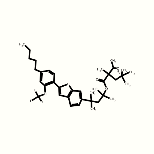 CCCCCc1ccc(-c2cc3ccc(C(C)(C)CC(C)(C)OC(=O)C(C)(CC(C)(C)C)C(C)C)cc3o2)c(OC(F)(F)F)c1